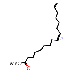 C=CCCCC/C=C\CCCCCCCC(=O)OC